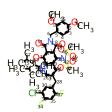 COc1ccc(CN2C(=O)c3c(c(O[Si](C(C)C)(C(C)C)C(C)C)c4ncc(Cc5cc(Cl)c(F)cc5F)cc4c3N(S(C)(=O)=O)S(C)(=O)=O)C2=O)c(OC)c1